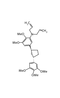 C=CCN(CC=C)c1cc([C@H]2CC[C@H](c3cc(OC)c(OC)c(OC)c3)S2)cc(OC)c1OC